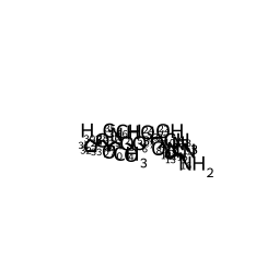 C[C@@H](OC(=O)OC[C@H]1O[C@@](C)(c2ccc3c(N)ncnn23)[C@H](O)[C@@H]1O)[C@@H](C(=O)OC1CCCC1)N(C)C